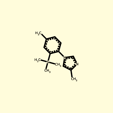 Cc1ccc(-n2cnc(C)c2)c([Si](C)(C)C)c1